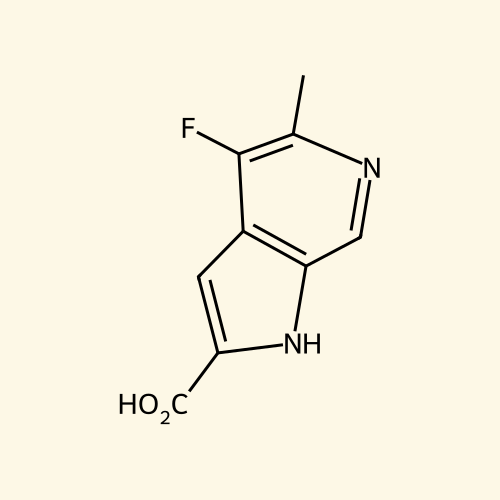 Cc1ncc2[nH]c(C(=O)O)cc2c1F